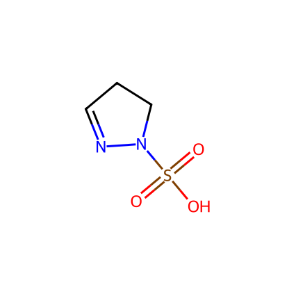 O=S(=O)(O)N1CCC=N1